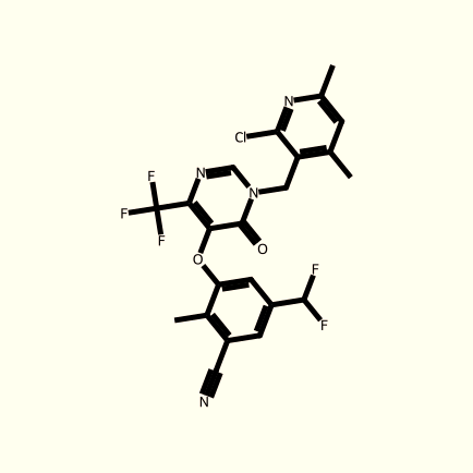 Cc1cc(C)c(Cn2cnc(C(F)(F)F)c(Oc3cc(C(F)F)cc(C#N)c3C)c2=O)c(Cl)n1